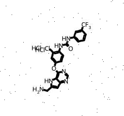 Cl.Cl.NCc1cc2ncnc(Oc3ccc(NC(=O)Nc4cccc(C(F)(F)F)c4)c(Cl)c3)c2[nH]1